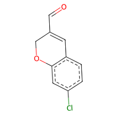 O=CC1=Cc2ccc(Cl)cc2OC1